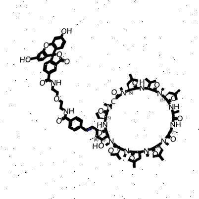 CC[C@@H]1NC(=O)[C@H]([C@H](O)[C@H](C)C/C=C/c2ccc(C(=O)NCCOCCNC(=O)c3ccc4c(c3)C(=O)OC43c4ccc(O)cc4Oc4cc(O)ccc43)cc2)N(C)C(=O)[C@H](C(C)C)N(C)C(=O)C(CC(C)C)N(C)C(=O)[C@H](CC(C)C)N(C)C(=O)[C@@H](C)NC(=O)C(C)NC(=O)[C@H](CC(C)C)N(C)C(=O)C(C(C)C)NC(=O)[C@H](CC(C)C)N(C)C(=O)CN(C)C1=O